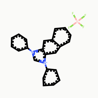 F[B-](F)(F)F.c1ccc(-n2c[n+](-c3ccccc3)c3cc4ccccc4cc32)cc1